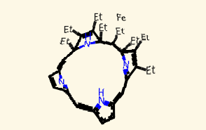 CCC1=C(CC)C2(CC)N=C1C=c1ccc([nH]1)=CC1=NC(=CC3(CC)NC(CC)(C(CC)=C3CC)C2CC)C=C1.[Fe]